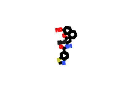 CNC(=O)C1(CCNC(=O)c2ccc3ncsc3c2)CCCc2ccc(O)cc21